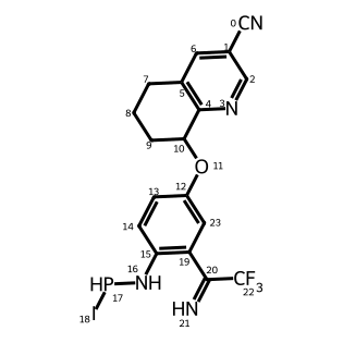 N#Cc1cnc2c(c1)CCCC2Oc1ccc(NPI)c(C(=N)C(F)(F)F)c1